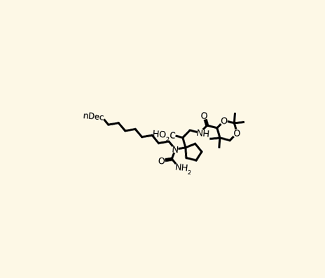 CCCCCCCCCCCCCCCCCCN(C(N)=O)C1(C(CNC(=O)C2OC(C)(C)OCC2(C)C)C(=O)O)CCCC1